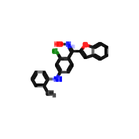 Cc1ccccc1Nc1ccc(/C(=N\O)c2cc3ccccc3o2)c(Cl)c1